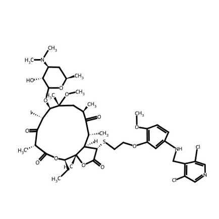 CC[C@H]1OC(=O)[C@H](C)C(=O)[C@H](I)[C@@H](OC2O[C@H](C)C[C@H](N(C)C)[C@H]2O)[C@](C)(OC)C[C@@H](C)C(=O)[C@H](C)[C@H]2[C@H](SCCOc3cc(NCc4c(Cl)cncc4Cl)ccc3OC)C(=O)O[C@@]21C